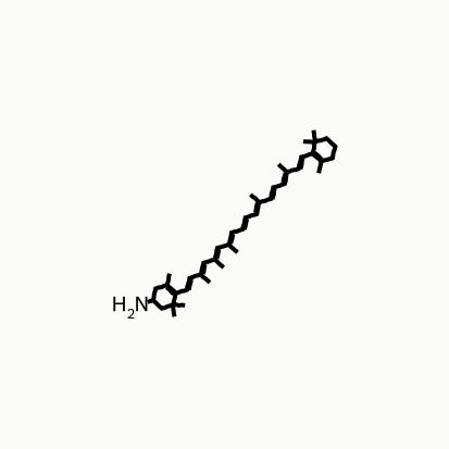 CC1=C(/C=C/C(C)=C/C=C/C(C)=C/C=C/C=C(C)/C=C(C)/C=C(C)/C=C/C2=C(C)CC(N)CC2(C)C)C(C)(C)CCC1